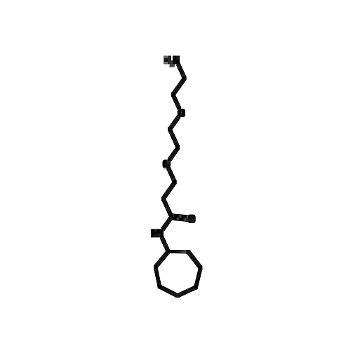 NCCOCCOCCC(=O)NC1CCCCCC1